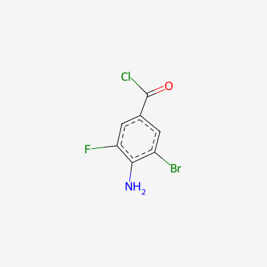 Nc1c(F)cc(C(=O)Cl)cc1Br